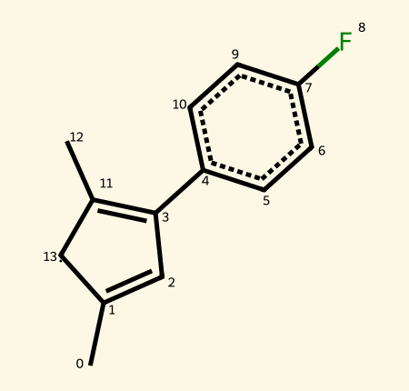 CC1=CC(c2ccc(F)cc2)=C(C)[CH]1